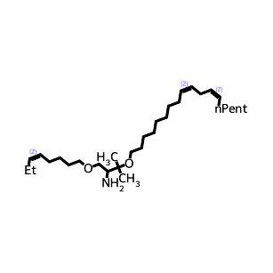 CC/C=C\CCCCOCC(N)C(C)(C)OCCCCCCCC/C=C\C/C=C\CCCCC